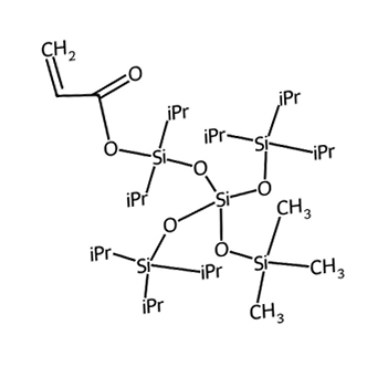 C=CC(=O)O[Si](O[Si](O[Si](C)(C)C)(O[Si](C(C)C)(C(C)C)C(C)C)O[Si](C(C)C)(C(C)C)C(C)C)(C(C)C)C(C)C